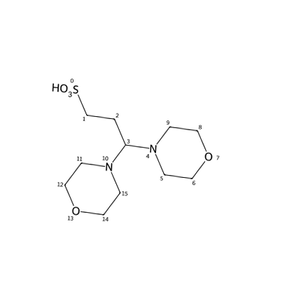 O=S(=O)(O)CCC(N1CCOCC1)N1CCOCC1